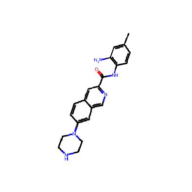 Cc1ccc(NC(=O)c2cc3ccc(N4CCNCC4)cc3cn2)c(N)c1